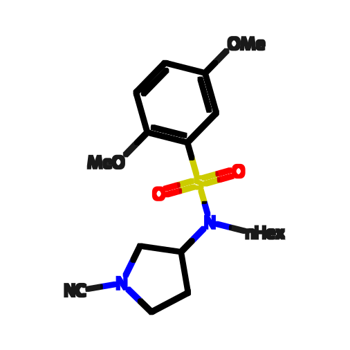 CCCCCCN(C1CCN(C#N)C1)S(=O)(=O)c1cc(OC)ccc1OC